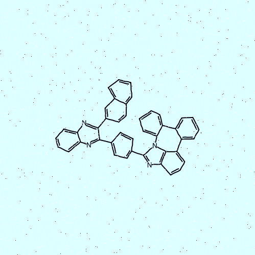 c1ccc2c(c1)-c1ccccc1-n1c(-c3ccc(-c4nc5ccccc5nc4-c4ccc5ccccc5c4)cc3)nc3cccc-2c31